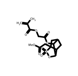 C=C(C)C(=O)OCC(=O)OC1C2CC3C1OS(=O)(=O)C3(CC(=O)OC)C2